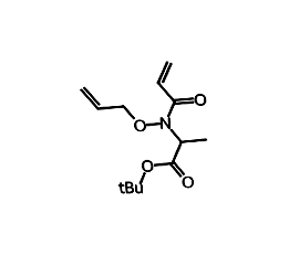 C=CCON(C(=O)C=C)C(C)C(=O)OC(C)(C)C